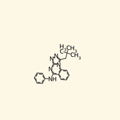 CC(C)(C)Cc1nnc2nc(Nc3ccccc3)c3ccccc3n12